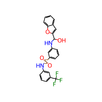 O=S(=O)(Nc1cccc(C(F)(F)F)c1)c1cccc(NC(O)c2cc3ccccc3o2)c1